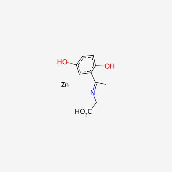 C/C(=N\CC(=O)O)c1cc(O)ccc1O.[Zn]